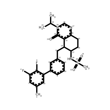 Cc1cc(F)c(F)c(-c2cccc(CC3c4c(ncn(C(C)C)c4=O)CCC3NS(C)(=O)=O)c2)c1